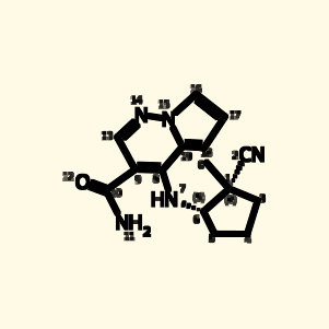 C[C@@]1(C#N)CCC[C@@H]1Nc1c(C(N)=O)cnn2cccc12